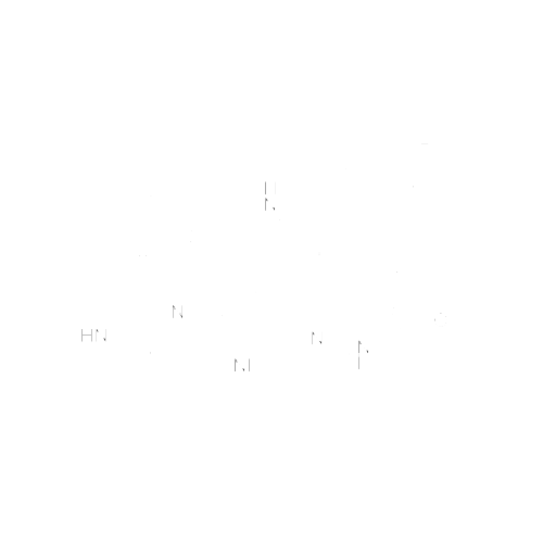 CN/C(=N\C=N)C1c2n[nH]c(=O)c3cc(F)cc(c23)NC1C1CC1